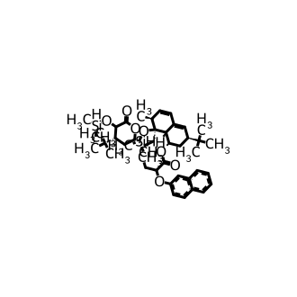 CCC(Oc1ccc2ccccc2c1)C(=O)O[C@H]1C[C@H](C(C)(C)C)C=C2C=C[C@H](C)[C@](CC[C@@H]3C[C@H](C(C)(C)C)C(O[SiH](C)C)C(=O)O3)(O[SiH](C)C)[C@H]21